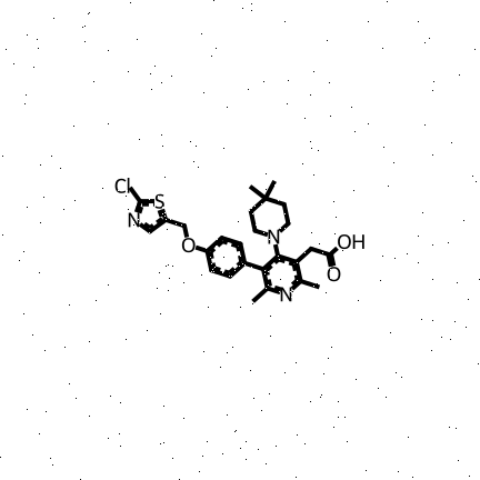 Cc1nc(C)c(-c2ccc(OCc3cnc(Cl)s3)cc2)c(N2CCC(C)(C)CC2)c1CC(=O)O